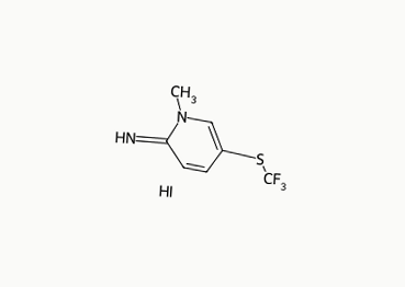 Cn1cc(SC(F)(F)F)ccc1=N.I